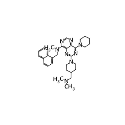 CN(C)CC1CCN(c2nc(N3CCCCC3)c3ncnc(N(C)Cc4cccc5ccccc45)c3n2)CC1